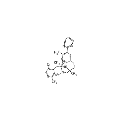 CCCN(C[C@@]1(C)CCc2cc(-c3ncccn3)c(C)nc2N1)C(=O)[C@@H](C)c1cc(C(F)(F)F)ncc1Cl